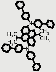 CC(C)c1cc2c(N(c3ccc(-c4ccccc4)cc3)c3ccc(-c4ccccc4)cc3)ccc3c(C(C)C)cc4c(N(c5ccc(-c6ccccc6)cc5)c5ccc(-c6ccccc6)cc5)ccc1c4c32